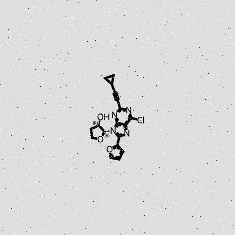 O[C@@H]1CCO[C@H]1n1c(-c2ccco2)nc2c(Cl)nc(C#CC3CC3)nc21